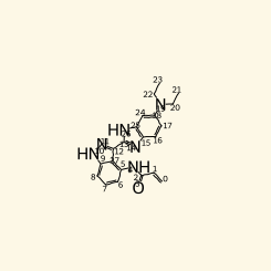 C=CC(=O)Nc1cccc2[nH]nc(-c3nc4ccc(N(CC)CC)cc4[nH]3)c12